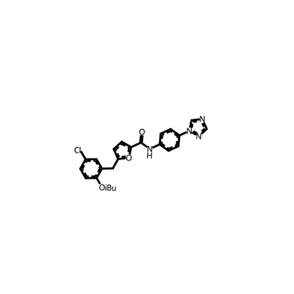 CC(C)COc1ccc(Cl)cc1Cc1ccc(C(=O)Nc2ccc(-n3cncn3)cc2)o1